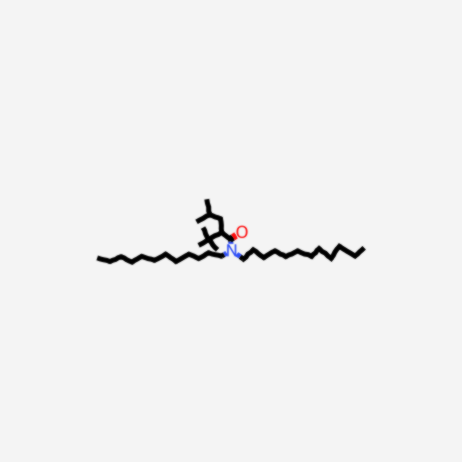 CCCCCCCCCCCCN(CCCCCCCCCCCC)C(=O)C(CC(C)C)C(C)(C)C